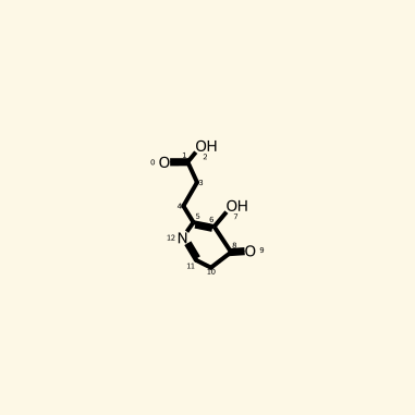 O=C(O)CCC1=C(O)C(=O)CC=N1